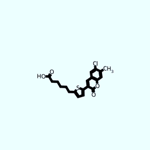 Cc1cc2oc(=O)c(-c3ccc(CCCCCC(=O)O)s3)cc2cc1Cl